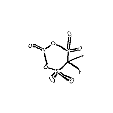 O=S1OS(=O)(=O)C(F)(F)S(=O)(=O)O1